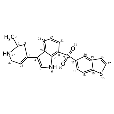 CC1CC(c2c[nH]c3c(S(=O)(=O)c4ccc5sccc5c4)ccnc23)=CCN1